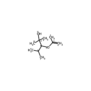 C=C(C)OC(C(C)C)C(C)(C)O